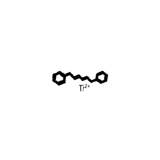 C(C=CCc1ccccc1)=CCc1ccccc1.[Ti+2]